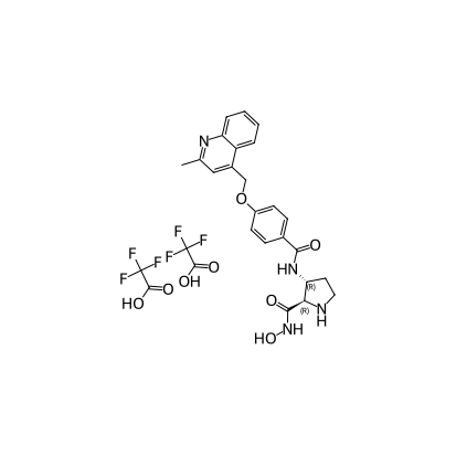 Cc1cc(COc2ccc(C(=O)N[C@@H]3CCN[C@H]3C(=O)NO)cc2)c2ccccc2n1.O=C(O)C(F)(F)F.O=C(O)C(F)(F)F